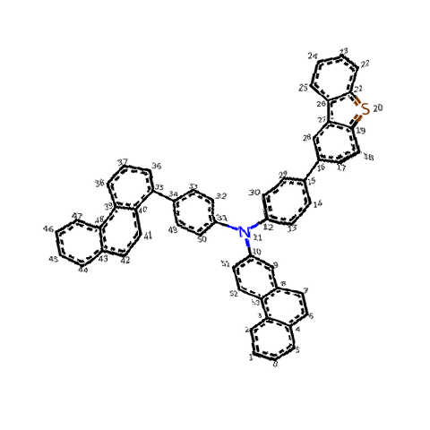 c1ccc2c(c1)ccc1cc(N(c3ccc(-c4ccc5sc6ccccc6c5c4)cc3)c3ccc(-c4cccc5c4ccc4ccccc45)cc3)ccc12